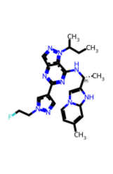 CCC(C)n1ncc2nc(-c3cnn(CCF)c3)nc(N[C@H](C)C3=CN4C=CC(C)=CC4N3)c21